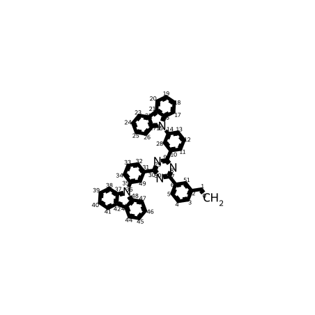 C=Cc1cccc(-c2nc(-c3cccc(-n4c5ccccc5c5ccccc54)c3)nc(-c3cccc(-n4c5ccccc5c5ccccc54)c3)n2)c1